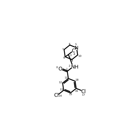 O=C(NC1CN2CCC1CC2)c1cc(Cl)cc(Cl)c1